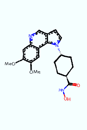 COc1cc2ncc3ccn([C@H]4CC[C@H](C(=O)NO)CC4)c3c2cc1OC